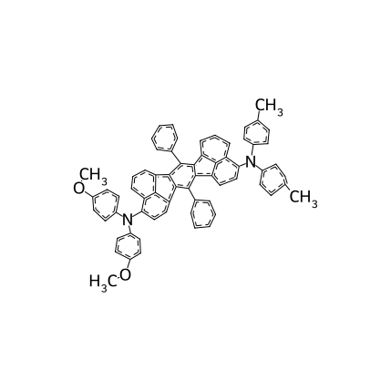 COc1ccc(N(c2ccc(OC)cc2)c2ccc3c4c(-c5ccccc5)c5c6ccc(N(c7ccc(C)cc7)c7ccc(C)cc7)c7cccc(c5c(-c5ccccc5)c4c4cccc2c43)c76)cc1